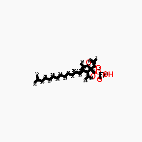 C=C(C)C(=O)C(C(=O)[O][Ti](=[O])[OH])(C(=O)C(=C)C)C(CCCCCCCCCCCCC(C)C)C(C)C